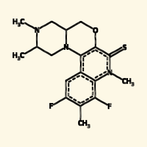 Cc1c(F)cc2c3c(c(=S)n(C)c2c1F)OCC1CN(C)C(C)CN31